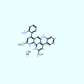 Nc1ccccc1-c1cc(C(=O)O)nc2c1ccc1c(-c3ccccc3N)cc(C(=O)O)nc12.[Na].[Na]